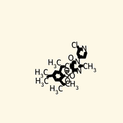 Cc1nc(OS(=O)(=O)c2c(C(C)C)cc(C(C)C)cc2C(C)C)cc(=O)n1-c1ccnc(Cl)c1